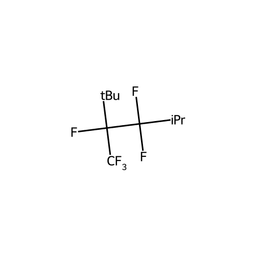 CC(C)C(F)(F)C(F)(C(C)(C)C)C(F)(F)F